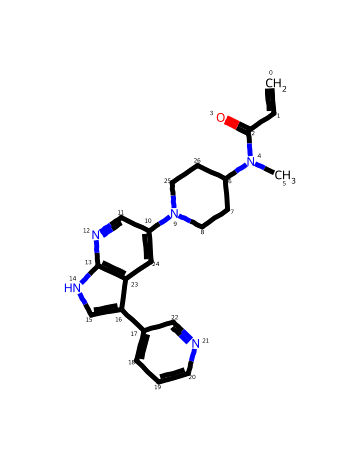 C=CC(=O)N(C)C1CCN(c2cnc3[nH]cc(-c4cccnc4)c3c2)CC1